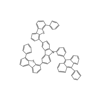 c1ccc(-c2c3ccccc3c(-c3cccc(-n4c5ccc(-c6cccc7c6sc6c(-c8ccccc8)cccc67)cc5c5cc(-c6cccc7c6sc6c(-c8ccccc8)cccc67)ccc54)c3)c3ccccc23)cc1